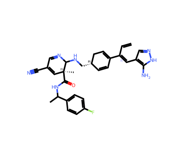 C=C/C(=C\c1cn[nH]c1N)C1=CC[C@@H](CNC2N=CC(C#N)=C[C@]2(C)C(=O)NC(C)c2ccc(F)cc2)C=C1